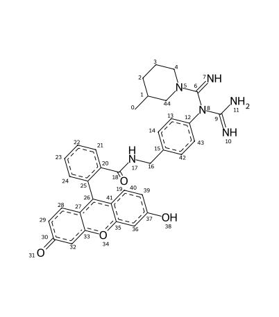 CC1CCCN(C(=N)N(C(=N)N)c2ccc(CNC(=O)c3ccccc3-c3c4ccc(=O)cc-4oc4cc(O)ccc34)cc2)C1